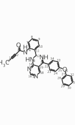 CC#CC(=O)Nc1ccccc1CNc1ncncc1C(=N)c1ccc(Oc2ccccc2)cc1